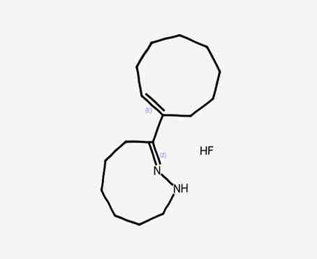 C1=C(/C2=N\NCCCCCC2)CCCCCCC/1.F